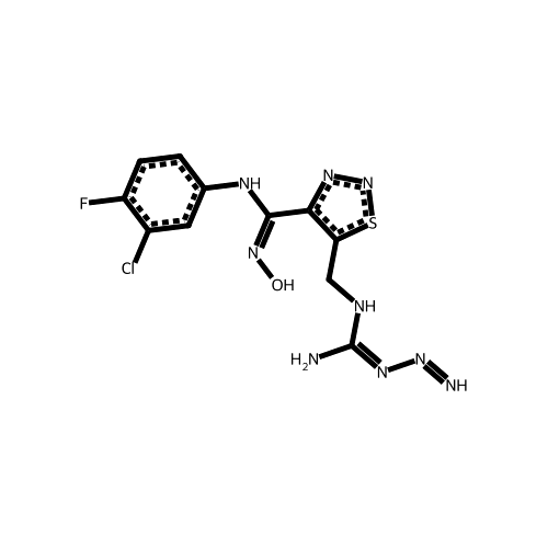 N=N/N=C(/N)NCc1snnc1C(=NO)Nc1ccc(F)c(Cl)c1